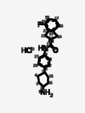 Cl.NC1CCC(c2ccc(NC(=O)N3Cc4cccc(F)c4C3)cc2)CC1